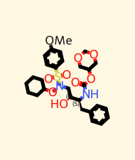 COc1ccc(S(=O)(=O)N(C[C@@H](O)[C@H](Cc2ccccc2)NC(=O)OC2COCOC2)OC2CCCCC2)cc1